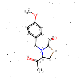 COc1ccc(CN2C(C=O)SCC2C(C)=O)cc1